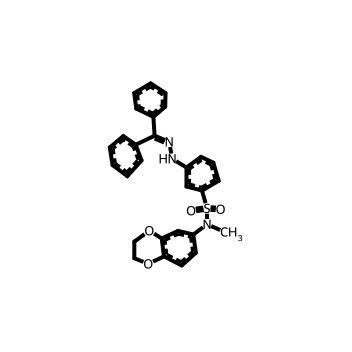 CN(c1ccc2c(c1)OCCO2)S(=O)(=O)c1cccc(NN=C(c2ccccc2)c2ccccc2)c1